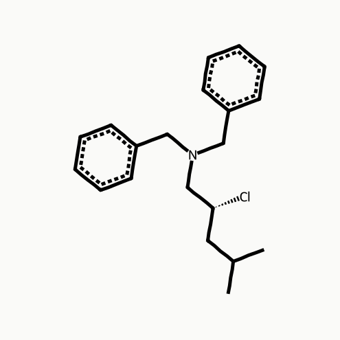 CC(C)C[C@@H](Cl)CN(Cc1ccccc1)Cc1ccccc1